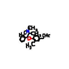 CC(=O)OCc1ccc(OC(c2ccccc2)C(C)N(C)C)c(C)c1